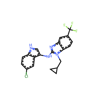 FC(F)(F)c1ccc2c(c1)nc(Nc1c[nH]c3ccc(Cl)cc13)n2CC1CC1